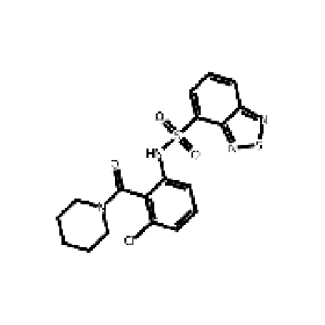 O=C(c1c(Cl)cccc1NS(=O)(=O)c1cccc2nsnc12)N1CCCCC1